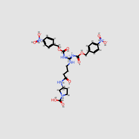 O=C(CCCN/C(=N\C(=O)OCc1ccc([N+](=O)[O-])cc1)NC(=O)OCc1ccc([N+](=O)[O-])cc1)N[C@H]1CCN(C(=O)O)C1